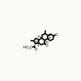 CC1C[C@H]2[C@@H]3CC(C)[C@H](C(=O)C(=O)O)[C@@]3(C)CC(=O)[C@@H]2[C@@]2(C)CCC(=O)C=C12